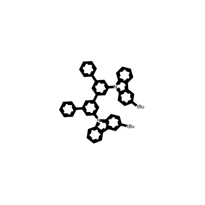 CC(C)(C)c1ccc2c(c1)c1ccccc1n2-c1cc(-c2ccccc2)cc(-c2cc(-c3ccccc3)cc(-n3c4ccccc4c4cc(C(C)(C)C)ccc43)c2)c1